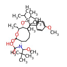 COc1ccc(C[C@H]2CCC[C@H](N(C(=O)O)C(OC)C(C)(C)C)C(=O)O[C@@H](C)[C@@H]2O[Si](C(C)C)(C(C)C)C(C)C)cc1